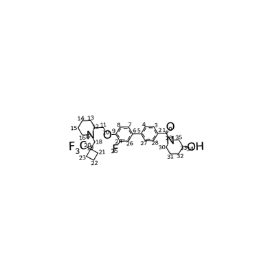 O=C(c1ccc(-c2ccc(OCC3CCCCN3CC3(C(F)(F)F)CCC3)c(F)c2)cc1)N1CCC[C@H](O)C1